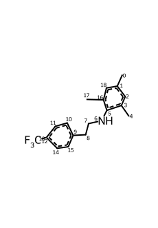 Cc1cc(C)c(NCCc2ccc(C(F)(F)F)cc2)c(C)c1